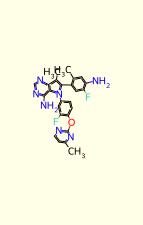 Cc1ccnc(Oc2ccc(-n3c(-c4cc(F)c(N)cc4C)c(C)c4ncnc(N)c43)cc2F)n1